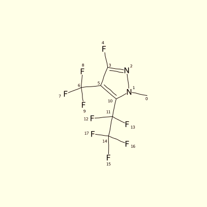 Cn1nc(F)c(C(F)(F)F)c1C(F)(F)C(F)(F)F